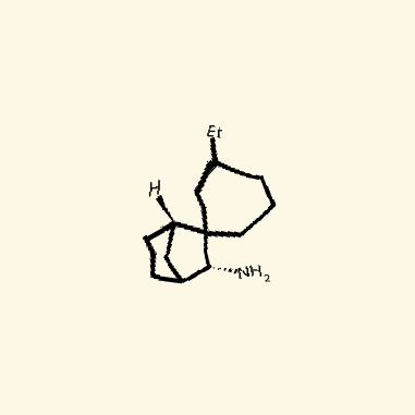 CCC1CCCC2(C1)[C@H]1CCC(C1)[C@H]2N